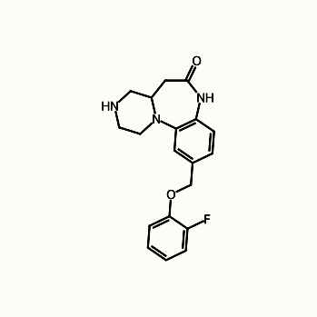 O=C1CC2CNCCN2c2cc(COc3ccccc3F)ccc2N1